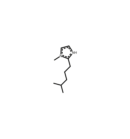 CC(C)CCCc1[nH]cc[n+]1C